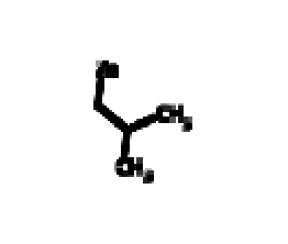 CC(C)[CH2][Zn]